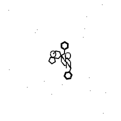 O=C(c1ccccc1)C1(N2CCN(Cc3ccccc3)CC2)CCOC2(CCCC2)C1